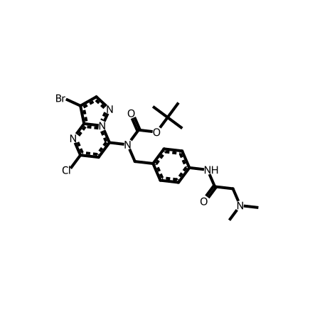 CN(C)CC(=O)Nc1ccc(CN(C(=O)OC(C)(C)C)c2cc(Cl)nc3c(Br)cnn23)cc1